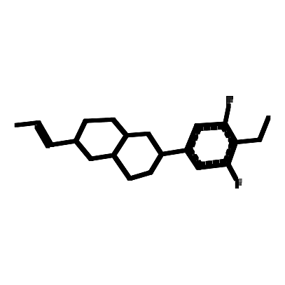 C/C=C/C1CCC2CC(c3cc(F)c(CC)c(F)c3)CCC2C1